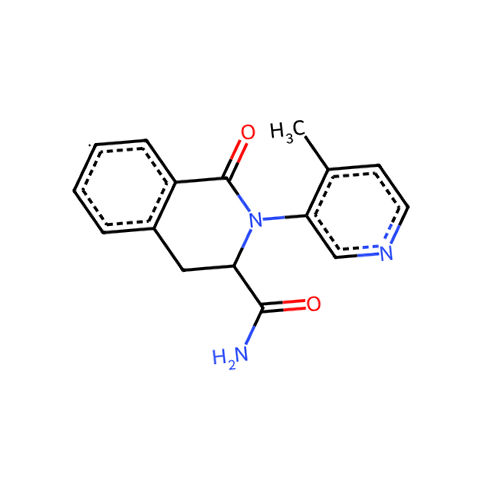 Cc1ccncc1N1C(=O)c2c[c]ccc2CC1C(N)=O